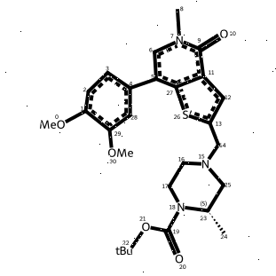 COc1ccc(-c2cn(C)c(=O)c3cc(CN4CCN(C(=O)OC(C)(C)C)[C@@H](C)C4)sc23)cc1OC